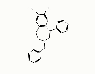 CC(=O)Nc1cc2c(cc1O)C(c1ccccc1)CN(Cc1ccccc1)CC2